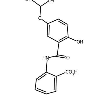 CCCC(CCC)Oc1ccc(O)c(C(=O)Nc2ccccc2C(=O)O)c1